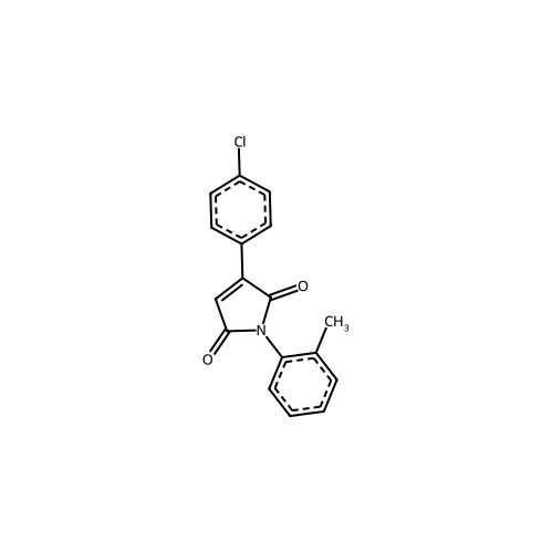 Cc1ccccc1N1C(=O)C=C(c2ccc(Cl)cc2)C1=O